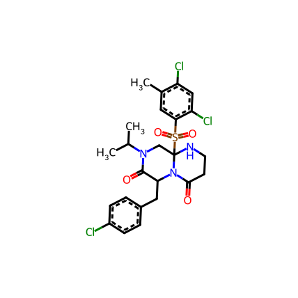 Cc1cc(S(=O)(=O)C23CN(C(C)C)C(=O)C(Cc4ccc(Cl)cc4)N2C(=O)CCN3)c(Cl)cc1Cl